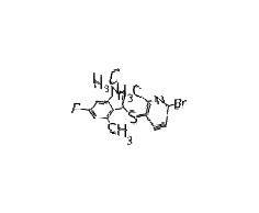 Cc1nc(Br)ccc1Sc1cn(C)c2cc(F)cc(C)c12